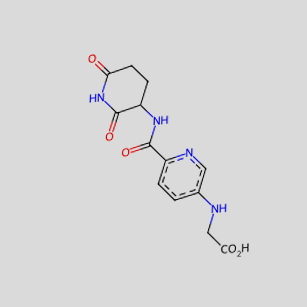 O=C(O)CNc1ccc(C(=O)NC2CCC(=O)NC2=O)nc1